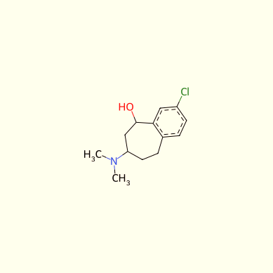 CN(C)C1CCc2ccc(Cl)cc2C(O)C1